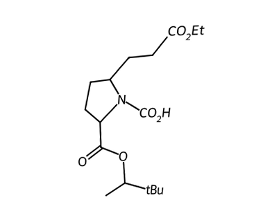 CCOC(=O)CCC1CCC(C(=O)OC(C)C(C)(C)C)N1C(=O)O